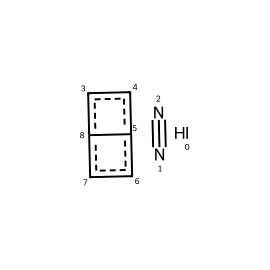 I.N#N.c1cc2ccc1-2